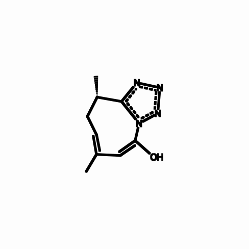 CC1=C\C[C@H](C)c2nnnn2/C(O)=C\1